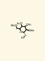 CCS[C@@H]1OC(COC)C(OC(C)=O)C(OC(C)=O)C1NC